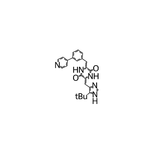 CC(C)(C)c1[nH]cnc1/C=c1\[nH]c(=O)/c(=C/c2cccc(-c3ccncc3)c2)[nH]c1=O